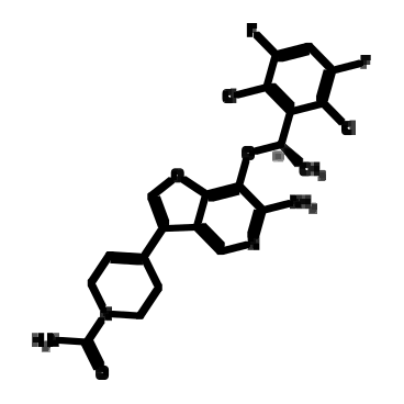 C[C@@H](Oc1c(N)ncc2c(C3=CCN(C(N)=O)CC3)coc12)c1c(Cl)c(F)cc(F)c1Cl